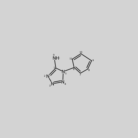 [NH]c1nnnn1-c1ccccc1